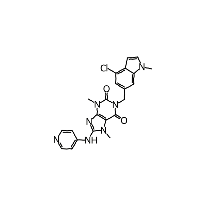 Cn1ccc2c(Cl)cc(Cn3c(=O)c4c(nc(Nc5ccncc5)n4C)n(C)c3=O)cc21